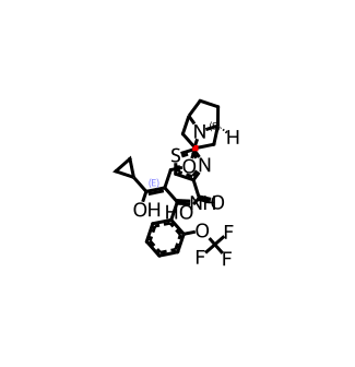 N=C(/C(COC1CC2CC[C@@H](C1)N2c1nc(C(=O)O)cs1)=C(\O)C1CC1)c1ccccc1OC(F)(F)F